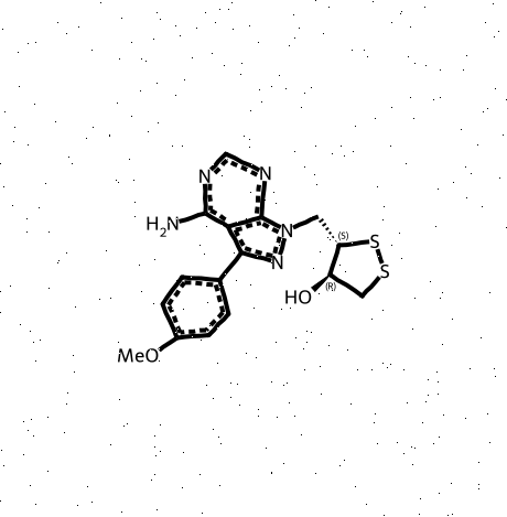 COc1ccc(-c2nn(C[C@@H]3SSC[C@H]3O)c3ncnc(N)c23)cc1